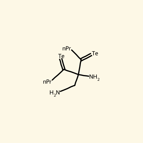 CCCC(=[Te])C(N)(CN)C(=[Te])CCC